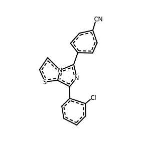 N#Cc1ccc(-c2nc(-c3ccccc3Cl)c3sccn23)cc1